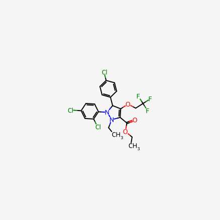 CCOC(=O)C1=C(OCC(F)(F)F)C(c2ccc(Cl)cc2)N(c2ccc(Cl)cc2Cl)N1CC